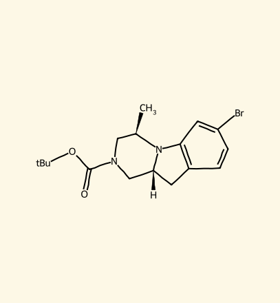 C[C@@H]1CN(C(=O)OC(C)(C)C)C[C@H]2Cc3ccc(Br)cc3N21